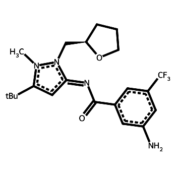 Cn1c(C(C)(C)C)cc(=NC(=O)c2cc(N)cc(C(F)(F)F)c2)n1C[C@H]1CCCO1